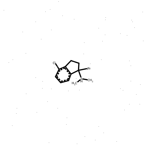 CC(C)C1([SH](C)C)CCc2c(Cl)cccc21